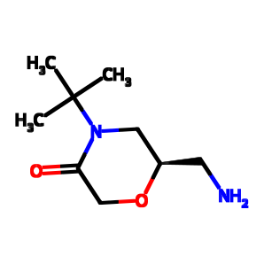 CC(C)(C)N1C[C@@H](CN)OCC1=O